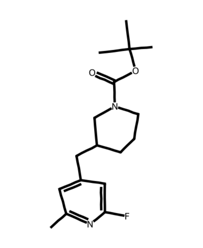 Cc1cc(CC2CCCN(C(=O)OC(C)(C)C)C2)cc(F)n1